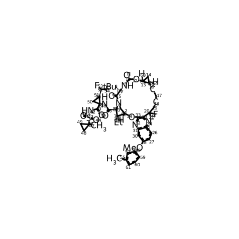 CC[C@@H]1[C@@H]2CN(C(=O)[C@H](C(C)(C)C)NC(=O)O[C@@H]3C[C@H]3CCCCC(F)(F)c3nc4ccc(OC)cc4nc3O2)[C@@H]1C(=O)N[C@]1(C(=O)NS(=O)(=O)C2(C)CC2)C[C@H]1C(F)F.Cc1ccccc1